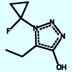 CCc1c(O)nnn1C1(F)CC1